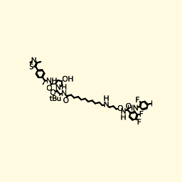 Cc1ncsc1-c1ccc([C@H](C)NC(=O)[C@H]2C[C@H](O)CN2C(=O)[C@@H](NC(=O)CCCCCCCCCCNCCCONC(=O)c2ccc(F)c(F)c2Nc2ccc(I)cc2F)C(C)(C)C)cc1